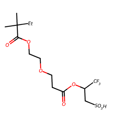 CCC(C)(C)C(=O)OCCOCCC(=O)OC(CS(=O)(=O)O)C(F)(F)F